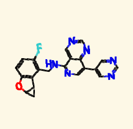 Fc1ccc2c(c1CNc1ncc(-c3cncnc3)c3ncncc13)C1CC1O2